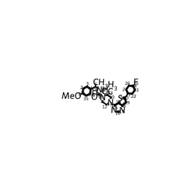 COc1ccc(C(C)NC(=O)N2CCN(c3ncnc4cc(-c5ccc(F)cc5)sc34)CC2(C)C)cc1